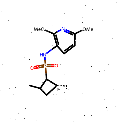 COc1ccc(NS(=O)(=O)C2C(C)C[C@H]2C)c(OC)n1